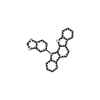 c1ccc2c(c1)oc1c2ccc2c3ccccc3n(-c3ccc4ncoc4c3)c21